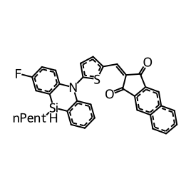 CCCCC[SiH]1c2ccccc2N(c2ccc(C=C3C(=O)c4cc5ccccc5cc4C3=O)s2)c2ccc(F)cc21